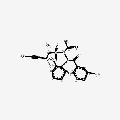 CC#C[C@@H](O)[C@H](C)S(=O)(=O)N(C(=N)N)N(C(=O)c1cncc(C)c1)c1c(OC)cccc1OC